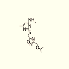 Cc1cc(N)nc(SCc2nc(COC(C)C)no2)n1